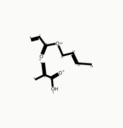 C=C(C)C(=O)O.C=CC(=O)OCC=CC